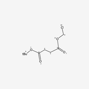 CC(C)(C)OC(=O)CCC(=O)OCCl